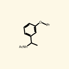 CC(=O)NC(C)c1cccc(OC(C)C)c1